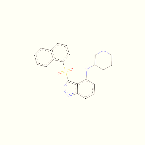 O=S(=O)(c1cccc2ccccc12)c1n[nH]c2cccc(NC3CCCNC3)c12